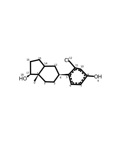 C[C@]12CC[C@H](c3ccc(O)cc3Cl)CC1CC[C@@H]2O